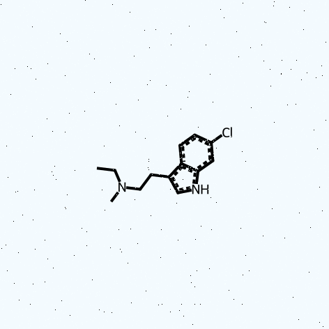 CCN(C)CCc1c[nH]c2cc(Cl)ccc12